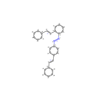 C(=C\c1ccc(/N=N/c2ccccc2/C=C/c2ccccc2)cc1)/c1ccccc1